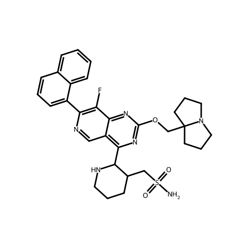 NS(=O)(=O)CC1CCCNC1c1nc(OCC23CCCN2CCC3)nc2c(F)c(-c3cccc4ccccc34)ncc12